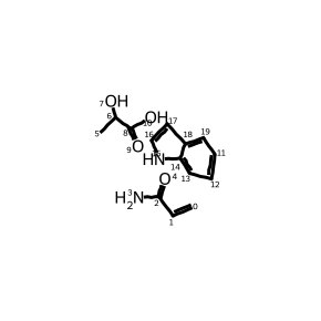 C=CC(N)=O.CC(O)C(=O)O.c1ccc2[nH]ccc2c1